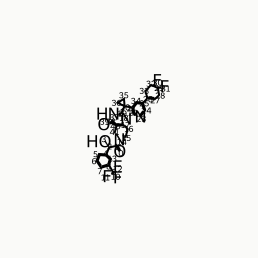 O=C([C@H](O)c1cccc(C(F)(F)F)c1)N1CCc2nc(C3(c4cncc(C5=CCC(F)(F)CC5)c4)CC3)[nH]c(=O)c2C1